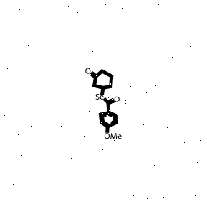 COc1ccc(C(=O)[Se]C2CCCC(=O)C2)cc1